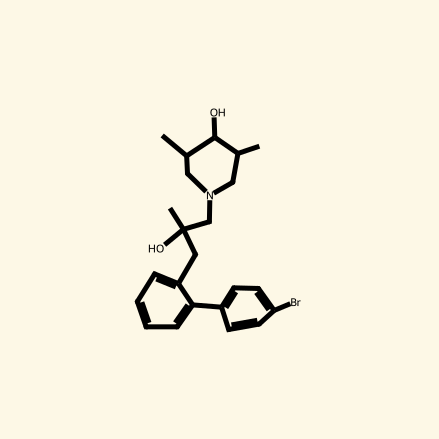 CC1CN(CC(C)(O)Cc2ccccc2-c2ccc(Br)cc2)CC(C)C1O